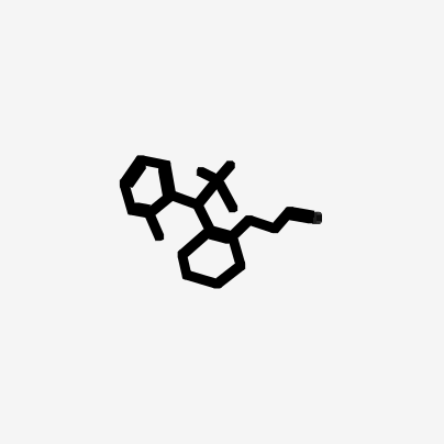 Cc1ccccc1C(C1=C(CCC=O)CCCC1)C(C)(C)C